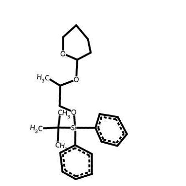 CC(CO[Si](c1ccccc1)(c1ccccc1)C(C)(C)C)OC1CCCCO1